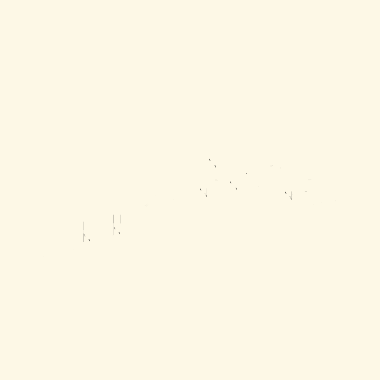 CCCCNC(=O)NCc1ccc(CNC(=N)NC(C=O)(CCCC)C2CCCN(C(=O)OC(C)(C)C)C2)cc1